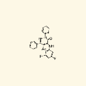 CC(=O)c1c(-c2ccccc2)nn(-c2ccccc2)c(=O)c1Nc1cc(F)cc(F)c1